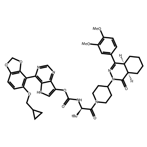 COc1ccc(C2=NN(C3CCN(C(=O)[C@H](NC(=O)Oc4c[nH]c5c(-c6c(OCC7CC7)ccc7c6OCO7)ncnc45)C(C)(C)C)CC3)C(=O)[C@@H]3CCCC[C@H]23)cc1OC